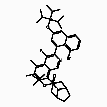 Cc1nc(N2CC3CCC(C2)N3C(=O)OC(C)(C)C)c2cnc(-c3cc(O[Si](C(C)C)(C(C)C)C(C)C)cc4cccc(Br)c34)c(F)c2c1C